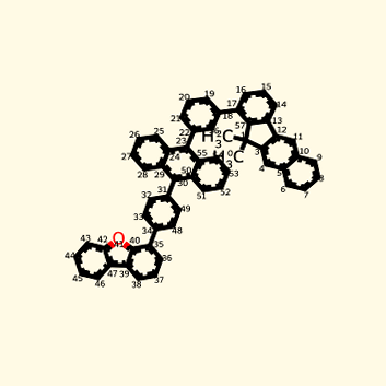 CC1(C)c2cc3ccccc3cc2-c2cccc(-c3cccc(-c4c5ccccc5c(-c5ccc(-c6cccc7c6oc6ccccc67)cc5)c5ccccc45)c3)c21